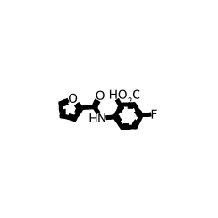 O=C(Nc1ccc(F)cc1C(=O)O)c1ccco1